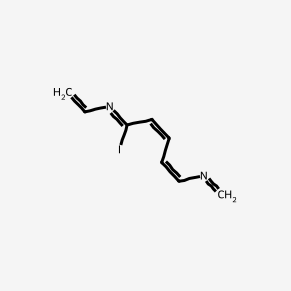 C=C/N=C(I)/C=C\C=C/N=C